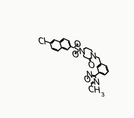 Cc1nc(-c2cccc(CN3CCN(S(=O)(=O)c4ccc5cc(Cl)ccc5c4)CC3=O)c2)no1